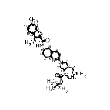 COC[C@@H]1CN(c2ccc3c(n2)CC[C@H](NC(=O)c2sc4nc(C)ccc4c2N)C3)C[C@H]1N(C)C(=O)OC(C)(C)C